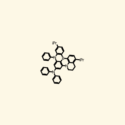 CC(C)c1ccc2c(c1)N(c1ccccc1)c1cc(N(c3ccccc3)c3ccccc3)cc3c1B2c1ccc(C(C)C)c2c1N3CCC2